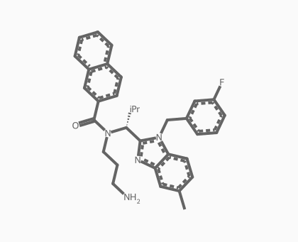 Cc1ccc2c(c1)nc([C@@H](C(C)C)N(CCCN)C(=O)c1ccc3ccccc3c1)n2Cc1cccc(F)c1